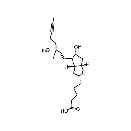 CC#CCCC(C)(O)/C=C/C1[C@H](O)C[C@@H]2O[C@H](CCCCC(=O)O)C[C@H]12